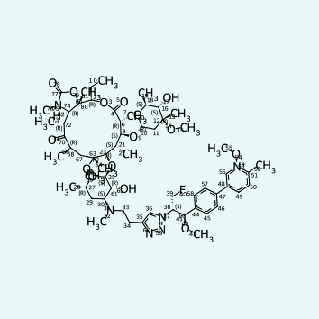 CC[C@H]1OC(=O)[C@H](C)[C@@H](O[C@H]2C[C@@](C)(OC)[C@@H](O)[C@H](C)O2)[C@H](C)[C@@H](O[C@@H]2O[C@H](C)C[C@H](N(C)CCc3cn([C@H](CF)[C@H](OC)c4ccc(-c5ccc(C)[n+](OC)c5)cc4)nn3)[C@H]2O)[C@](C)(OC)C[C@@H](C)C(=O)[C@H](C)[C@H]2N(C)C(=O)O[C@]12C